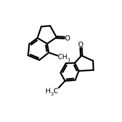 Cc1ccc2c(c1)CCC2=O.Cc1cccc2c1C(=O)CC2